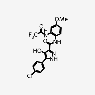 COc1ccc(NC(=O)c2n[nH]c(-c3ccc(Cl)cc3)c2O)c(NC(=O)C(F)(F)F)c1